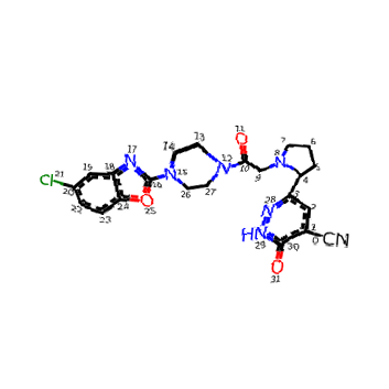 N#Cc1cc(C2CCCN2CC(=O)N2CCN(c3nc4cc(Cl)ccc4o3)CC2)n[nH]c1=O